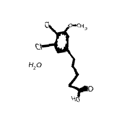 COc1cc(CCCCC(=O)O)cc(Cl)c1Cl.O